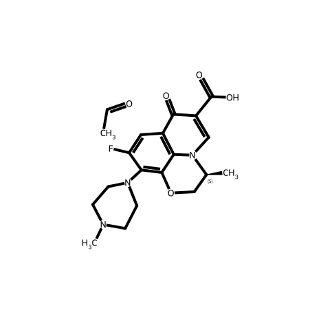 CC=O.C[C@H]1COc2c(N3CCN(C)CC3)c(F)cc3c(=O)c(C(=O)O)cn1c23